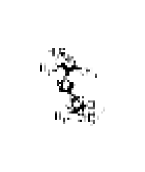 Cc1nn(C)c(C)c1-n1cc(B2OC(C)(C)C(C)(C)O2)cn1